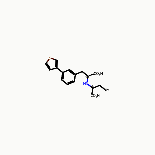 CC(C)C[C@H](N[C@@H](Cc1cccc(-c2ccsc2)c1)C(=O)O)C(=O)O